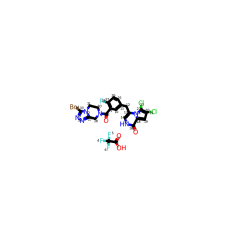 O=C(O)C(F)(F)F.O=C(c1cc(Cc2c[nH]c(=O)c3cc(Cl)c(Cl)n23)ccc1F)N1CCn2c(Br)nnc2C1